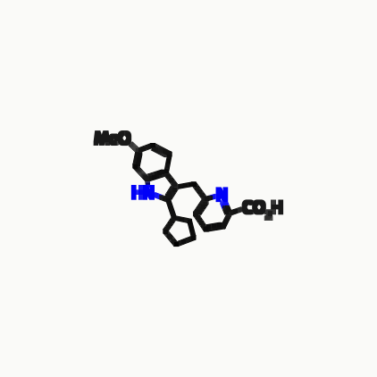 COc1ccc2c(Cc3cccc(C(=O)O)n3)c(C3CCCC3)[nH]c2c1